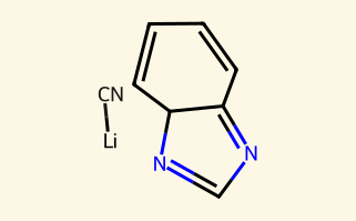 C1=CC2=NC=NC2C=C1.[Li][C]#N